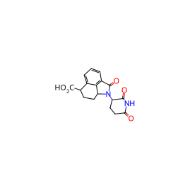 O=C1CCC(N2C(=O)c3cccc4c3C2CCC4C(=O)O)C(=O)N1